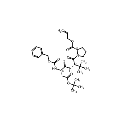 C=CCOC(=O)[C@H]1CCCN1C(=O)[C@@H](NC(=O)[C@H](CC(=O)OC(C)(C)C)NC(=O)OCc1ccccc1)C(C)(C)C